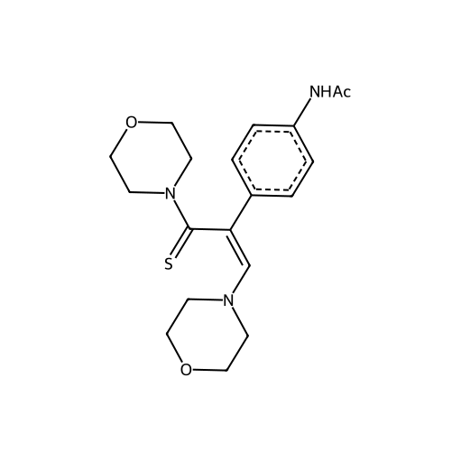 CC(=O)Nc1ccc(/C(=C/N2CCOCC2)C(=S)N2CCOCC2)cc1